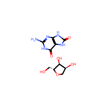 Nc1nc2[nH]c(=O)[nH]c2c(=O)[nH]1.OC[C@H]1OC[C@H](O)[C@@H]1O